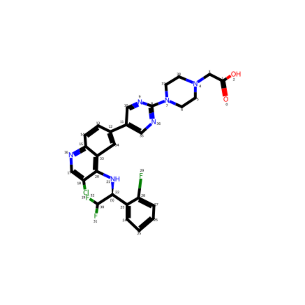 O=C(O)CN1CCN(c2ncc(-c3ccc4ncc(Cl)c(N[C@@H](c5ccccc5F)C(F)F)c4c3)cn2)CC1